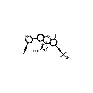 CC#Cc1cncc(-c2ccc3c(c2)[C@@]2(COC(N)=N2)c2cc(C#CC(C)(C)O)cc(F)c2O3)c1